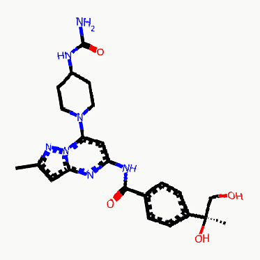 Cc1cc2nc(NC(=O)c3ccc([C@](C)(O)CO)cc3)cc(N3CCC(NC(N)=O)CC3)n2n1